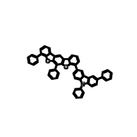 c1ccc(-c2ccc3c(c2)c2cc(-c4cccc5c4oc4c(-c6ccccc6)c6oc7c(-c8ccccc8)cccc7c6cc45)ccc2n3-c2ccccc2)cc1